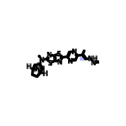 C=NN/C=C(\C)c1cnc(-c2nc3sc(N(C)[C@@H]4C[C@H]5CC[C@@H](C4)N5)nc3s2)cn1